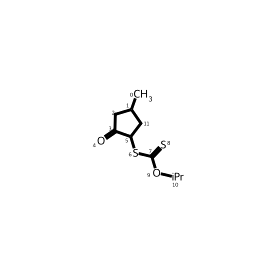 CC1CC(=O)C(SC(=S)OC(C)C)C1